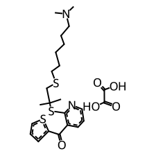 CN(C)CCCCCCSCC(C)(C)Sc1ncccc1C(=O)c1cccs1.O=C(O)C(=O)O